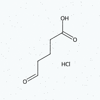 Cl.O=CCCCC(=O)O